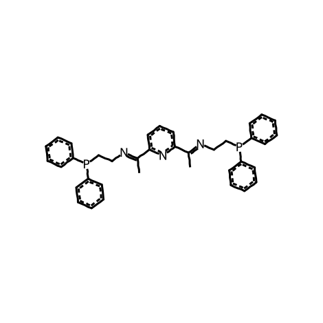 C/C(=N\CCP(c1ccccc1)c1ccccc1)c1cccc(/C(C)=N/CCP(c2ccccc2)c2ccccc2)n1